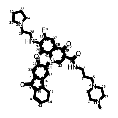 CN1CCN(CCCNC(=O)c2cn3c4cc5c6c(c(=O)c5cc4oc4c(NCCN5CCCC5)c(F)cc(c2=O)c43)C=CCC6)CC1